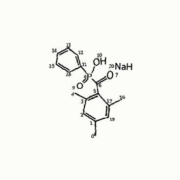 Cc1cc(C)c(C(=O)P(=O)(O)c2ccccc2)c(C)c1.[NaH]